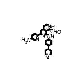 CN1CCC(c2ccc(Nc3nc(-c4ccc(N)cn4)cc4c3C(C=O)NC=C4)cc2)CC1